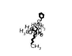 CCCCCCCC(C(=O)OC)C(C)(O[PH2]=O)C(C)NC(=O)OCc1ccccc1